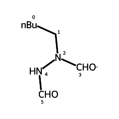 CCCCCN([C]=O)NC=O